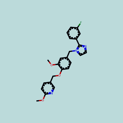 COc1ccc(COc2ccc(Cn3ccnc3-c3cccc(F)c3)cc2OC)cn1